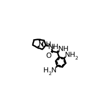 CN1C2CCC1CC(NC(=O)C(=N)c1cc(N)ccc1N)C2